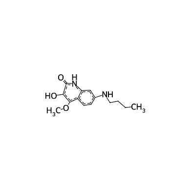 CCCCNc1ccc2c(OC)c(O)c(=O)[nH]c2c1